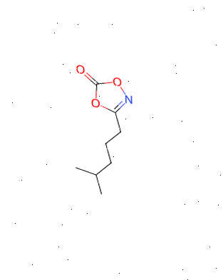 CC(C)CCCc1noc(=O)o1